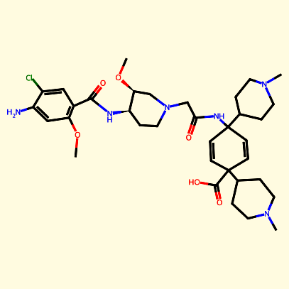 COc1cc(N)c(Cl)cc1C(=O)N[C@@H]1CCN(CC(=O)NC2(C3CCN(C)CC3)C=CC(C(=O)O)(C3CCN(C)CC3)C=C2)C[C@@H]1OC